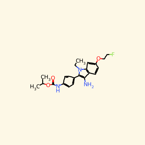 CCn1c(-c2ccc(NC(=O)OC(C)C)cc2)c(N)c2ccc(OCCF)cc21